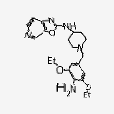 CCOc1cc(CN2CCC(Nc3nc4ccncc4o3)CC2)cc(OCC)c1N